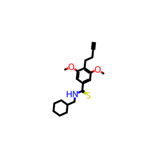 C#CCCc1c(OC)cc(C(=S)NCC2CCCCC2)cc1OC